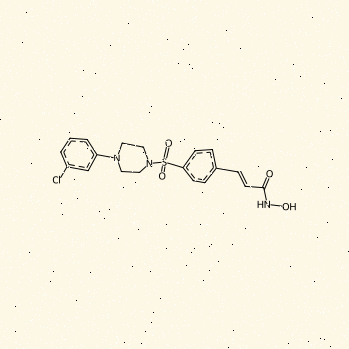 O=C(C=Cc1ccc(S(=O)(=O)N2CCN(c3cccc(Cl)c3)CC2)cc1)NO